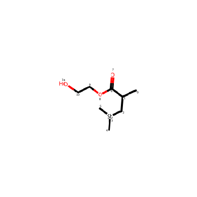 CC([CH2][Sb]([CH3])[CH3])C(=O)OCCO